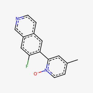 Cc1cc[n+]([O-])c(-c2cc3ccncc3cc2F)c1